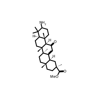 COC(=O)[C@@]1(C)CC[C@]2(C)CC[C@]3(C)C(=CC(=O)[C@@H]4[C@@]5(C)CCC(N)C(C)(C)[C@@H]5CC[C@]43C)[C@H]2C1